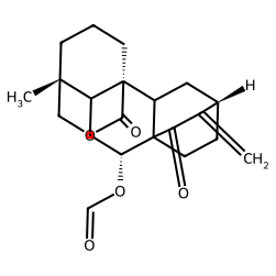 C=C1C(=O)C23CC[C@H]1CC2[C@@]12CCC[C@@](C)(COC1=O)C2C[C@H]3OC=O